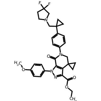 CCOC(=O)c1nn(-c2ccc(OC)cc2)c2c1C1(CC1)CN(c1ccc(C3(CN4CCC(F)(F)C4)CC3)cc1)C2=O